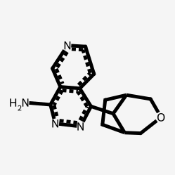 Nc1nnc(C2C3CCC2COC3)c2ccncc12